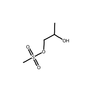 CC(O)COS(C)(=O)=O